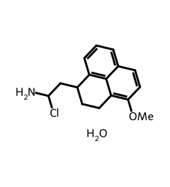 COc1ccc2cccc3c2c1CCC3CC(N)Cl.O